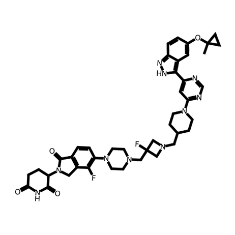 CC1(Oc2ccc3n[nH]c(-c4cc(N5CCC(CN6CC(F)(CN7CCN(c8ccc9c(c8F)CN(C8CCC(=O)NC8=O)C9=O)CC7)C6)CC5)ncn4)c3c2)CC1